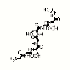 NCC(=O)NCC(=O)N[C@@H](CO)C(=O)NCC(=O)N[C@@H](CO)C(=O)NCC(=O)N[C@@H](CO)C(=O)NCC(=O)O